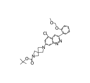 COCOc1ccccc1-c1cc2c(Cl)cc(N3CC4(CN(C(=O)OC(C)(C)C)C4)C3)cc2nn1